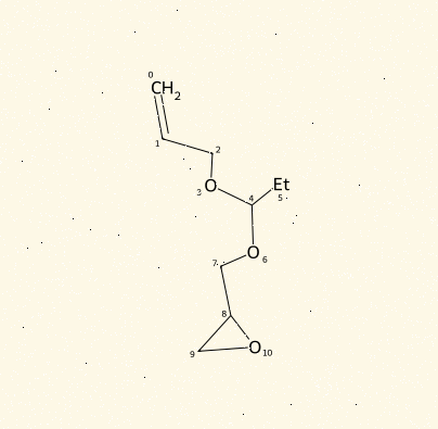 C=CCOC(CC)OCC1CO1